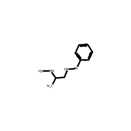 CC(CNSc1ccccc1)NS